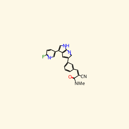 CNC(=O)C(C#N)=Cc1cccc(-c2cnc3[nH]cc(-c4ccc(F)nc4)c3c2)c1